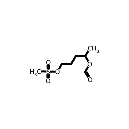 CC(CCCOS(C)(=O)=O)OC=O